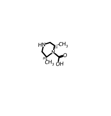 C[C@@H]1CNC[C@H](C)N1C(=O)O